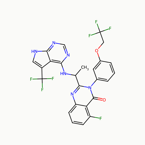 CC(Nc1ncnc2[nH]cc(C(F)(F)F)c12)c1nc2cccc(F)c2c(=O)n1-c1cccc(OCC(F)(F)F)c1